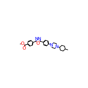 COC(=O)c1ccc(-c2nnc(-c3ccc(N4CCN(C5CCC(C)CC5)CC4)cc3)o2)cc1